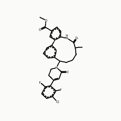 COC(=O)c1ccc2c(c1)-c1cccc(c1)C(N1CCC(c3c(F)ccc(Cl)c3F)=CC1=O)CCCC(C)C(=O)N2